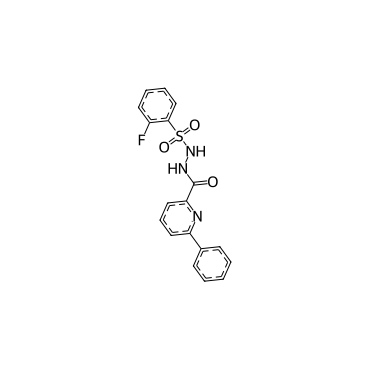 O=C(NNS(=O)(=O)c1ccccc1F)c1cccc(-c2ccccc2)n1